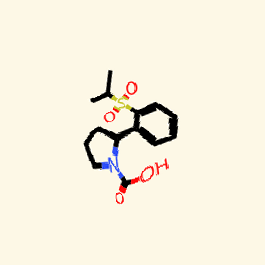 CC(C)S(=O)(=O)c1ccccc1C1CCCN1C(=O)O